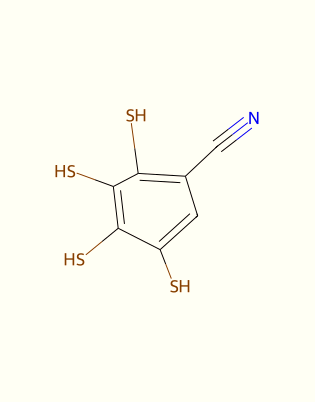 N#Cc1cc(S)c(S)c(S)c1S